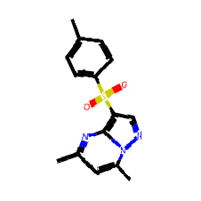 Cc1ccc(S(=O)(=O)c2cnn3c(C)cc(C)nc23)cc1